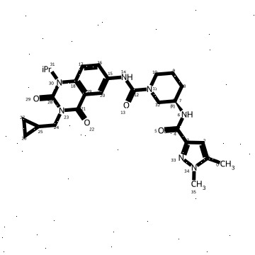 Cc1cc(C(=O)N[C@@H]2CCCN(C(=O)Nc3ccc4c(c3)c(=O)n(CC3CC3)c(=O)n4C(C)C)C2)nn1C